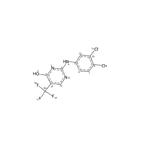 Oc1nc(Nc2ccc(Cl)c(Cl)c2)ncc1C(F)(F)F